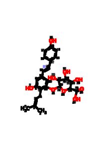 CC(C)=CCc1c(O)cc(/C=C/c2ccc(O)cc2)cc1O[C@@H]1OC(C(=O)O)[C@@H](O)[C@H](O)C1O